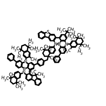 Cc1cc2c(cc1N1c3ccc(-c4ccccc4)cc3B3c4c(cc(C(C)(C)C)cc41)-c1cc4sc5ccccc5c4cc1N3c1ccc3c(c1)C(C)(C)CCC3(C)Cc1ccc(-c3cc4c5c(c3)N(c3cc6c(cc3C)C(C)(C)CCC6(C)C)c3cc(-c6ccccc6)ccc3B5N(c3ccc5c(c3)C(C)(C)CCC5(C)C)c3ccc5c(c3-4)C(C)(C)c3ccccc3-5)cc1)C(C)(C)CCC2(C)C